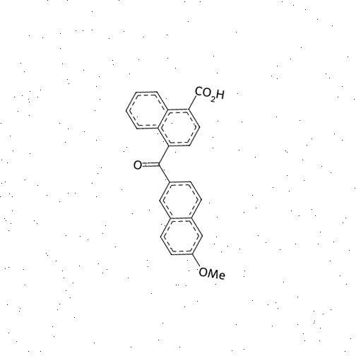 COc1ccc2cc(C(=O)c3ccc(C(=O)O)c4ccccc34)ccc2c1